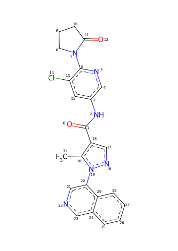 O=C(Nc1cnc(N2CCCC2=O)c(Cl)c1)c1cnn(-c2cncc3ccccc23)c1C(F)(F)F